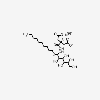 CCCCCCCCCCOC(O)C(O)C(O)C(O)C(O)CO.O=C([O-])CC(O)(CC(=O)[O-])C(=O)O.[Na+].[Na+]